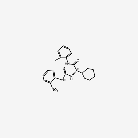 Cc1ccccc1NC(=O)[C@H](NC(=S)Nc1ccccc1[N+](=O)[O-])C1CCCCC1